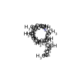 CCC1/C=C(\C)C(O)C(C)CC(OC)C2CC(O)(C(=O)C(=O)N3CCCCC3C(=O)CC(C(C)=CC3CCC(Oc4ccc5c(ccn5C)c4)C(O)C3)C(C)C(O)CC1=O)C(C)CC2OC